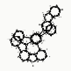 c1ccc(-c2ccc(-n3c4ccccc4c4ccc5oc6cccc(-c7nc(-c8ccccc8)nc(-c8ccc9c(c8)oc8ccccc89)n7)c6c5c43)cc2)cc1